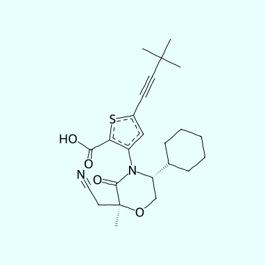 CC(C)(C)C#Cc1cc(N2C(=O)[C@](C)(CC#N)OC[C@H]2C2CCCCC2)c(C(=O)O)s1